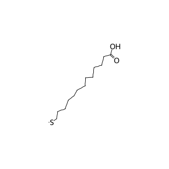 O=C(O)CCCCCCCCCCCC[S]